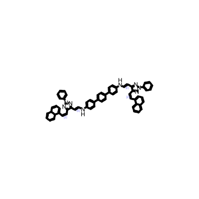 C1=CC2C=CC=C(/C=C\c3nn(-c4ccccc4)nc3/C=C/Nc3ccc(-c4ccc(-c5ccc(N/C=C/c6nn(-c7ccccc7)nc6/C=C\c6cccc7ccccc67)cc5)cc4)cc3)C2C=C1